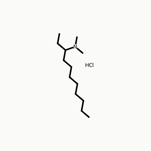 CCCCCCCCC(CC)N(C)C.Cl